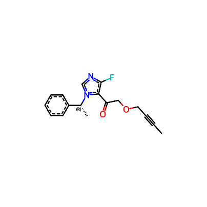 CC#CCOCC(=O)c1c(F)ncn1[C@H](C)c1ccccc1